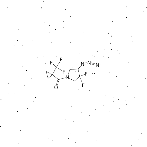 [N-]=[N+]=NC1CN(C(=O)C2(C(F)(F)F)CC2)CC1(F)F